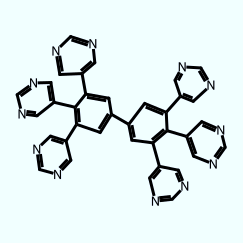 c1ncc(-c2cc(-c3cc(-c4cncnc4)c(-c4cncnc4)c(-c4cncnc4)c3)cc(-c3cncnc3)c2-c2cncnc2)cn1